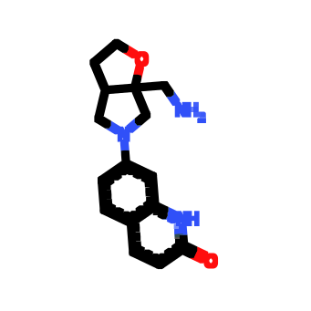 NCC12CN(c3ccc4ccc(=O)[nH]c4c3)CC1CCO2